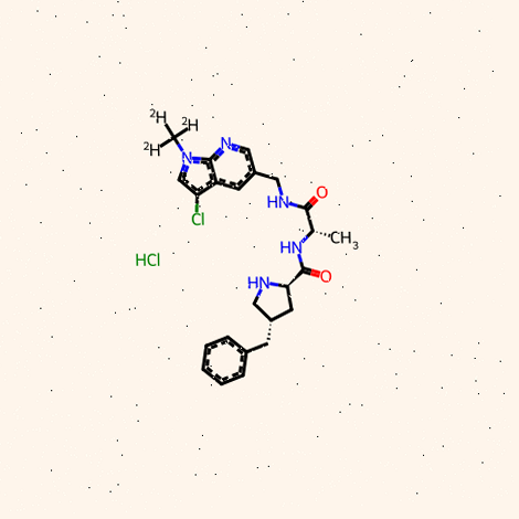 Cl.[2H]C([2H])([2H])n1cc(Cl)c2cc(CNC(=O)[C@H](C)NC(=O)[C@H]3C[C@H](Cc4ccccc4)CN3)cnc21